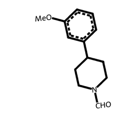 COc1cccc(C2CCN(C=O)CC2)c1